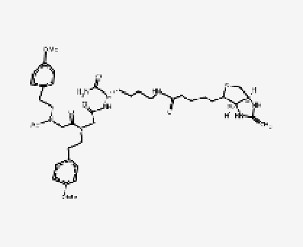 C=C1N[C@@H]2CSC(CCCCC(=O)NCCCC[C@H](NC(=O)CN(CCc3ccc(OC)cc3)C(=O)CN(CCc3ccc(OC)cc3)C(C)=O)C(N)=O)[C@@H]2N1